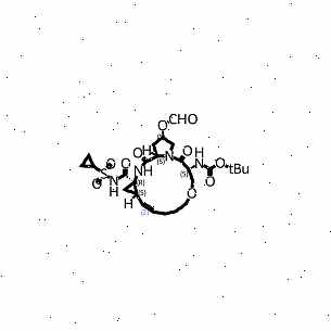 CC(C)(C)OC(=O)N[C@H]1COCCC/C=C\[C@@H]2C[C@@]2(C(=O)NS(=O)(=O)C2CC2)NC(=O)[C@@H]2C[C@@H](OC=O)CN2C1=O